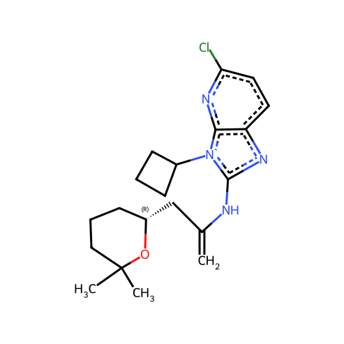 C=C(C[C@H]1CCCC(C)(C)O1)Nc1nc2ccc(Cl)nc2n1C1CCC1